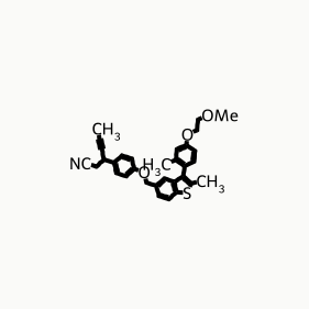 CC#CC(CC#N)c1ccc(OCc2ccc3sc(C)c(-c4ccc(OCCOC)cc4C)c3c2)cc1